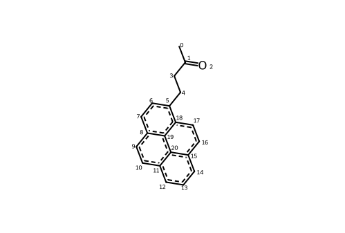 CC(=O)CCc1ccc2ccc3cccc4ccc1c2c34